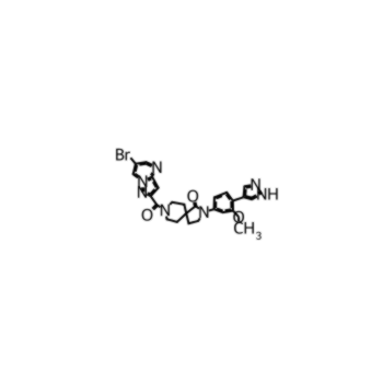 COc1cc(N2CCC3(CCN(C(=O)c4cc5ncc(Br)cn5n4)CC3)C2=O)ccc1-c1cn[nH]c1